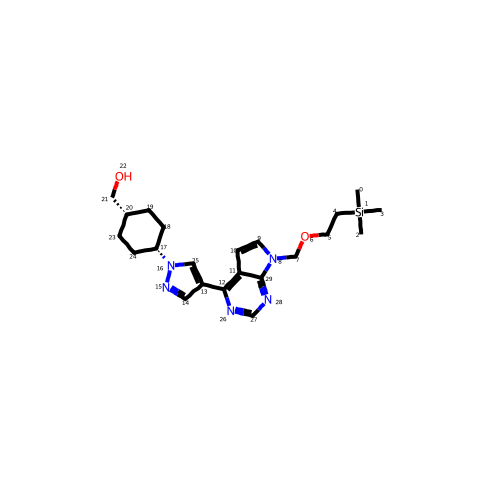 C[Si](C)(C)CCOCn1ccc2c(-c3cnn([C@H]4CC[C@@H](CO)CC4)c3)ncnc21